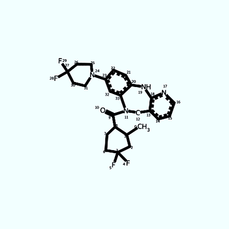 CC1CC(F)(F)CCC1C(=O)N1Cc2cccnc2Nc2ccc(N3CCC(F)(F)CC3)cc21